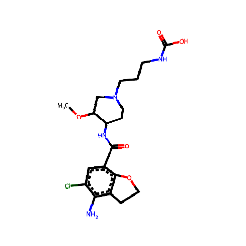 COC1CN(CCCNC(=O)O)CCC1NC(=O)c1cc(Cl)c(N)c2c1OCC2